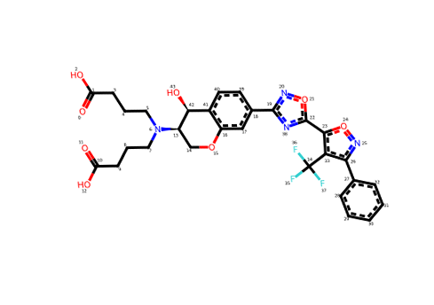 O=C(O)CCCN(CCCC(=O)O)[C@@H]1COc2cc(-c3noc(-c4onc(-c5ccccc5)c4C(F)(F)F)n3)ccc2[C@@H]1O